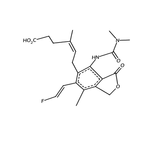 CC(=CCc1c(C=CF)c(C)c2c(c1NC(=O)N(C)C)C(=O)OC2)CCC(=O)O